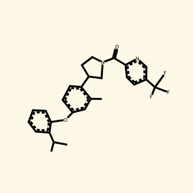 Cc1cc(Oc2ccccc2C(C)C)ccc1C1CCN(C(=O)c2ccc(C(F)(F)F)cn2)C1